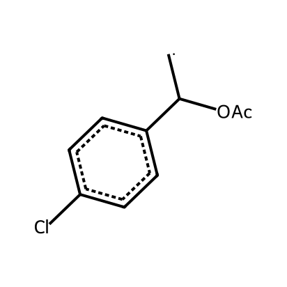 [CH2]C(OC(C)=O)c1ccc(Cl)cc1